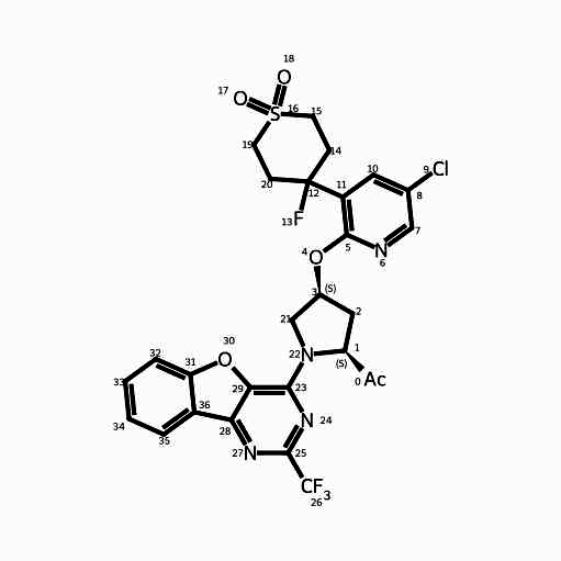 CC(=O)[C@@H]1C[C@H](Oc2ncc(Cl)cc2C2(F)CCS(=O)(=O)CC2)CN1c1nc(C(F)(F)F)nc2c1oc1ccccc12